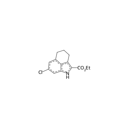 CCOC(=O)c1[nH]c2cc(Cl)cc3c2c1CCC3